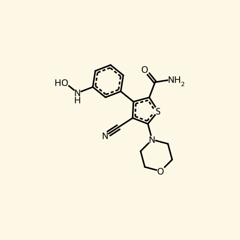 N#Cc1c(N2CCOCC2)sc(C(N)=O)c1-c1cccc(NO)c1